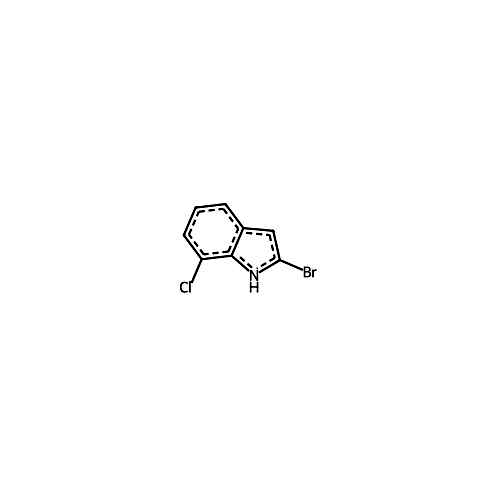 Clc1cccc2cc(Br)[nH]c12